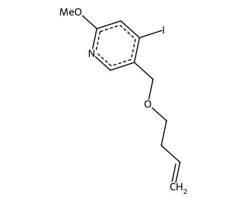 C=CCCOCc1cnc(OC)cc1I